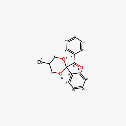 CCC1COC(C(=O)c2ccccc2)(c2ccccc2)OC1